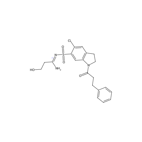 N/C(CCO)=N\S(=O)(=O)c1cc2c(cc1Cl)CCN2C(=O)CCc1ccccc1